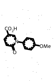 COc1ccc(-n2cc(C(=O)O)ccc2=O)cc1